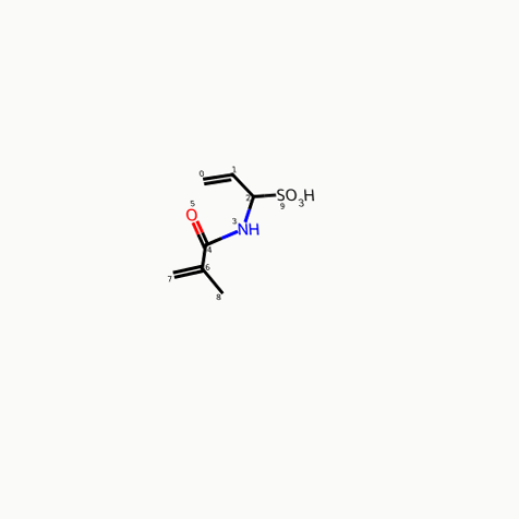 C=CC(NC(=O)C(=C)C)S(=O)(=O)O